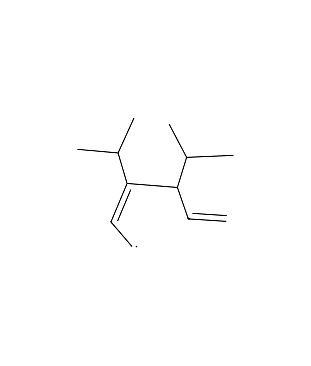 [CH2]C=C(C(C)C)C(C=C)C(C)C